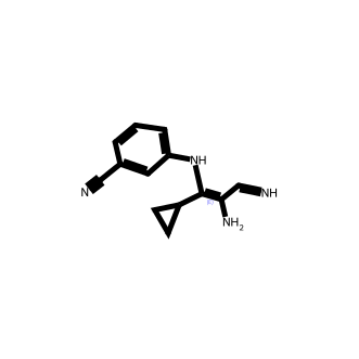 N#Cc1cccc(N/C(=C(/N)C=N)C2CC2)c1